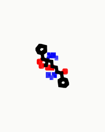 NC(CCC[C@](N)(C(=O)O)C(=O)c1ccccc1)C(=O)c1ccccc1